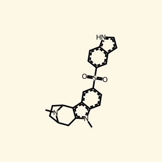 CN1C2CCC1c1c(n(C)c3ccc(S(=O)(=O)c4ccc5[nH]ccc5c4)cc13)C2